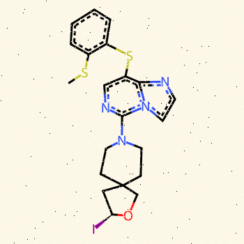 CSc1ccccc1Sc1cnc(N2CCC3(CC2)CO[C@@H](I)C3)n2ccnc12